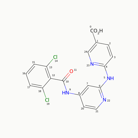 O=C(O)c1ccc(Nc2cc(NC(=O)c3c(Cl)cccc3Cl)ccn2)nc1